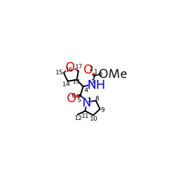 COC(=O)NC(C(=O)N1CCCC1C)C1CCOC1